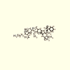 C=C([C@H](C)CC1CC[C@@H]2O[C@@H](CCCC)C[C@]2(CC)O1)[C@H](C)CC1O[C@H](CC(C)CC)[C@H](C)[C@H]1CS(=O)(=O)c1ccccc1